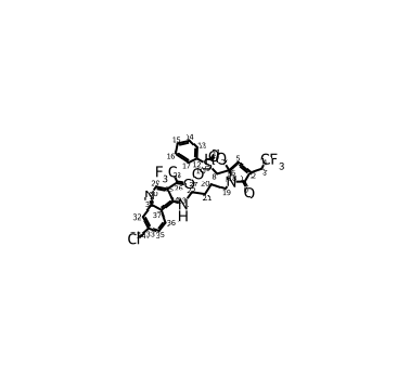 O=C1C(CC(F)(F)F)=CC(O)(CS(=O)(=O)c2ccccc2)N1CCCCNc1c(C(=O)C(F)(F)F)cnc2cc(Cl)ccc12